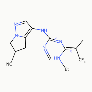 C=N/C(=N\C(NCC)=C(/C)C(F)(F)F)Nc1cnn2c1CC(C#N)C2